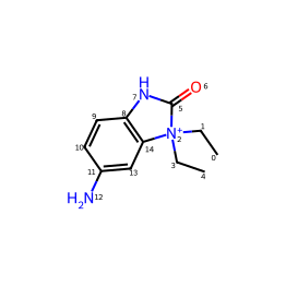 CC[N+]1(CC)C(=O)Nc2ccc(N)cc21